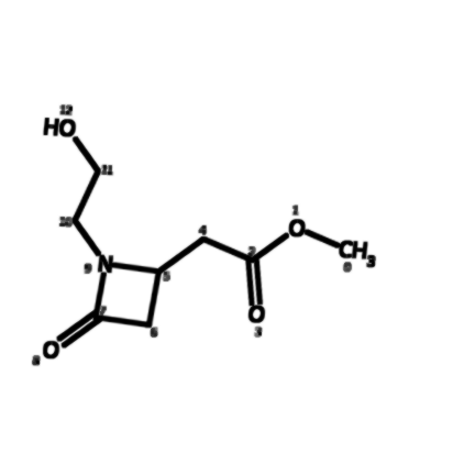 COC(=O)CC1CC(=O)N1CCO